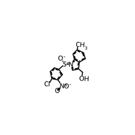 Cc1ccc2c(CO)cn([S+]([O-])c3ccc(Cl)c([N+](=O)[O-])c3)c2c1